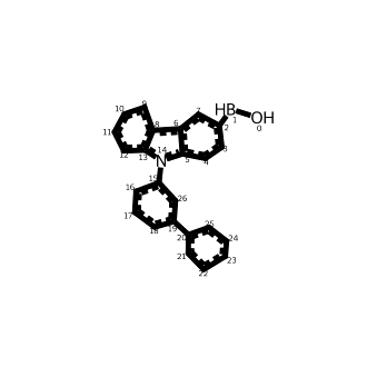 OBc1ccc2c(c1)c1ccccc1n2-c1cccc(-c2ccccc2)c1